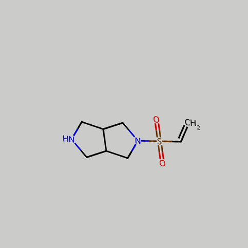 C=CS(=O)(=O)N1CC2CNCC2C1